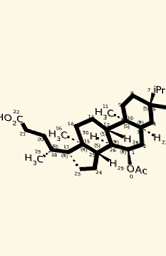 CC(=O)O[C@@H]1C[C@@H]2C[C@](O)(C(C)C)CC[C@]2(C)[C@H]2CC[C@]3(C)[C@@H]([C@H](C)CCC(=O)O)CC[C@H]3[C@H]12